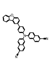 N#Cc1ccc2cc(N(c3ccc(-c4ccc5oc6ccccc6c5c4)cc3)c3ccc4cc(C#N)ccc4c3)ccc2c1